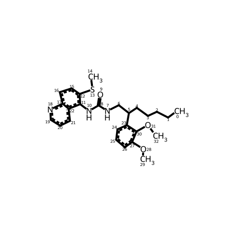 CCCCCC(CNC(=O)Nc1c(SC)ccc2ncccc12)c1cccc(OC)c1OC